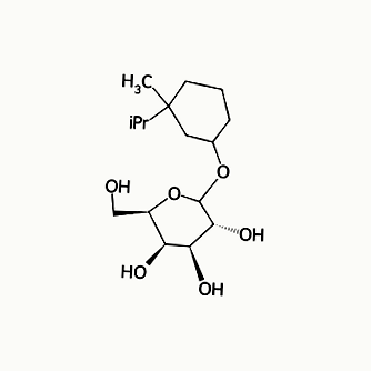 CC(C)C1(C)CCCC(OC2O[C@H](CO)[C@H](O)[C@H](O)[C@H]2O)C1